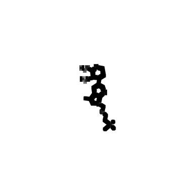 Cc1cn(COCC[Si](C)(C)C)c2ncc(-c3ccnc(N)c3N)cc12